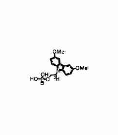 [2H]C(COP(=O)(O)O)n1c2ccc(OC)cc2c2cc(OC)ccc21